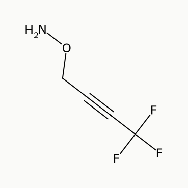 NOCC#CC(F)(F)F